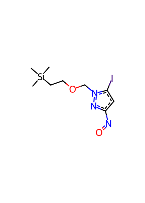 C[Si](C)(C)CCOCn1nc(N=O)cc1I